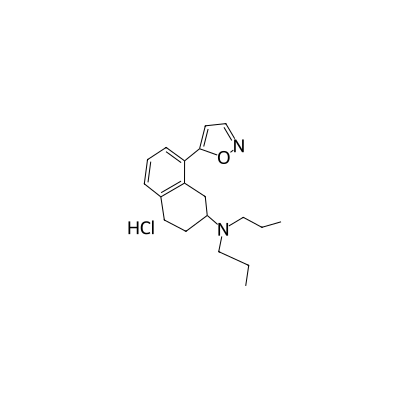 CCCN(CCC)C1CCc2cccc(-c3ccno3)c2C1.Cl